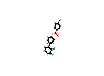 Cc1ccc(C(=O)Oc2ccc(-c3cccc(F)c3F)cc2)cc1